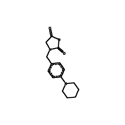 O=C1CN(Cc2ccc(N3CCCCC3)cc2)C(=O)[N]1